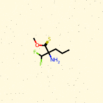 CCCC(N)(C(=S)OC)C(F)F